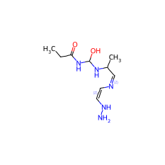 CCC(=O)NC(O)NC(C)/C=N\C=C/NN